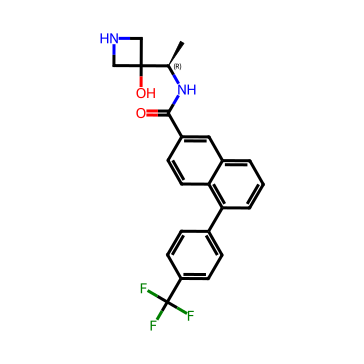 C[C@@H](NC(=O)c1ccc2c(-c3ccc(C(F)(F)F)cc3)cccc2c1)C1(O)CNC1